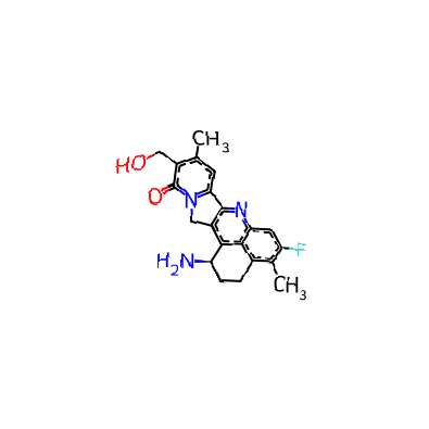 Cc1cc2n(c(=O)c1CO)Cc1c-2nc2cc(F)c(C)c3c2c1[C@H](N)CC3